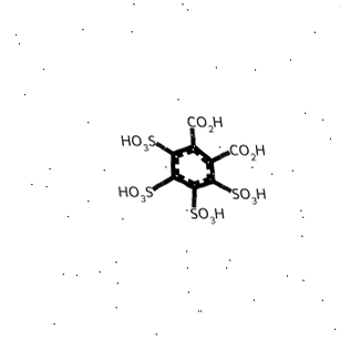 O=C(O)c1c(C(=O)O)c(S(=O)(=O)O)c(S(=O)(=O)O)c(S(=O)(=O)O)c1S(=O)(=O)O